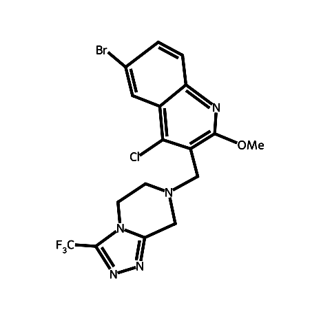 COc1nc2ccc(Br)cc2c(Cl)c1CN1CCn2c(nnc2C(F)(F)F)C1